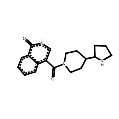 O=C(c1c[nH]c(=O)c2ccccc12)N1CCC(C2CCCN2)CC1